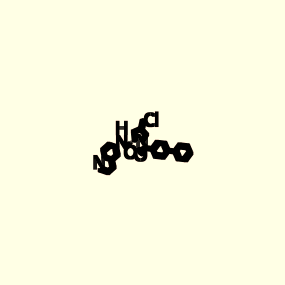 O=C(Nc1ccc2ncccc2c1)[C@@H]1CC(=CCl)CN1C(=O)c1ccc(-c2ccccc2)cc1